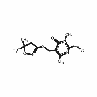 CCOc1nc(C(F)(F)F)c(CSC2=NOC(C)(C)C2)c(=O)n1C